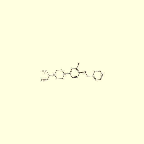 CC(C=O)N1CCN(c2ccc(OCc3ccccc3)c(F)c2)CC1